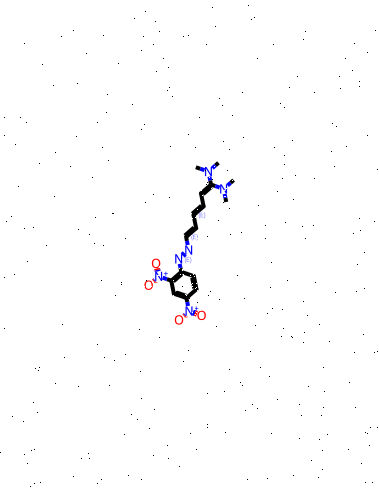 CN(C)C(=C/C=C/C=C/N=N/c1ccc([N+](=O)[O-])cc1[N+](=O)[O-])N(C)C